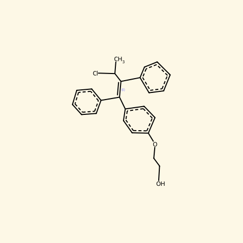 CC(Cl)/C(=C(\c1ccccc1)c1ccc(OCCO)cc1)c1ccccc1